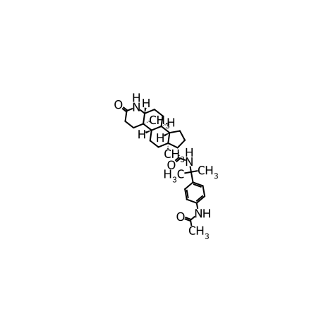 CC(=O)Nc1ccc(C(C)(C)NC(=O)[C@H]2CC[C@H]3[C@@H]4CC[C@H]5NC(=O)CC[C@]5(C)[C@H]4CC[C@]23C)cc1